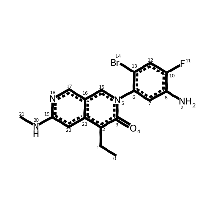 CCc1c(=O)n(-c2cc(N)c(F)cc2Br)cc2cnc(NC)cc12